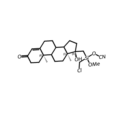 CO[Si](CCl)(C[C@@]1(O)CCC2C3CCC4=CC(=O)CC[C@]4(C)C3CC[C@@]21C)OC#N